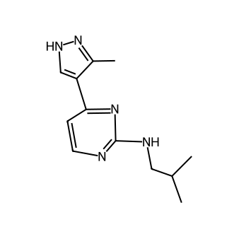 Cc1n[nH]cc1-c1ccnc(NCC(C)C)n1